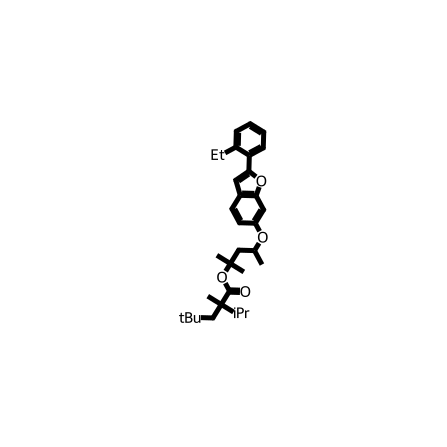 CCc1ccccc1-c1cc2ccc(OC(C)CC(C)(C)OC(=O)C(C)(CC(C)(C)C)C(C)C)cc2o1